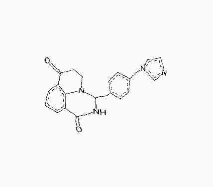 O=C1CCN2c3c1cccc3C(=O)NC2c1ccc(-n2ccnc2)cc1